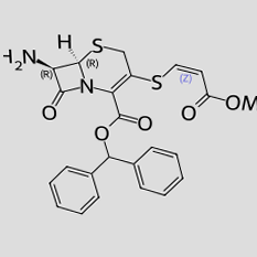 COC(=O)/C=C\SC1=C(C(=O)OC(c2ccccc2)c2ccccc2)N2C(=O)[C@@H](N)[C@H]2SC1